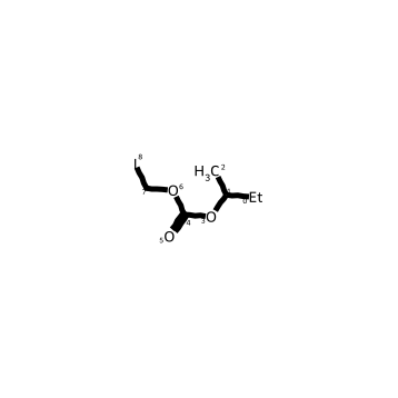 CCC(C)OC(=O)OCI